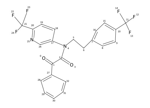 O=C(C(=O)N(CCc1ccc(C(F)(F)F)cc1)c1ccc(C(F)(F)F)nc1)c1ccccc1